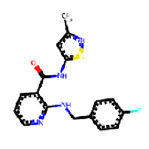 O=C(Nc1cc(C(F)(F)F)ns1)c1cccnc1NCc1ccc(F)cc1